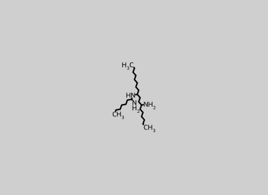 CCCCCCCCC(CCC(N)CCCCCC)NC(N)CCCCCC